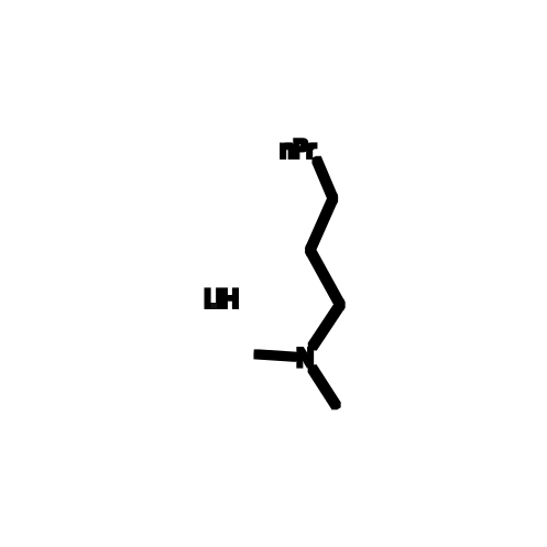 CCCCCCN(C)C.[LiH]